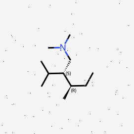 CC[C@@H](C)[C@@H](CN(C)C)C(C)C